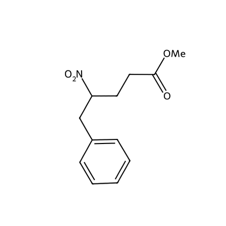 COC(=O)CCC(Cc1ccccc1)[N+](=O)[O-]